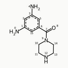 Nc1cc(N)cc(C(=O)N2CCNCC2)c1